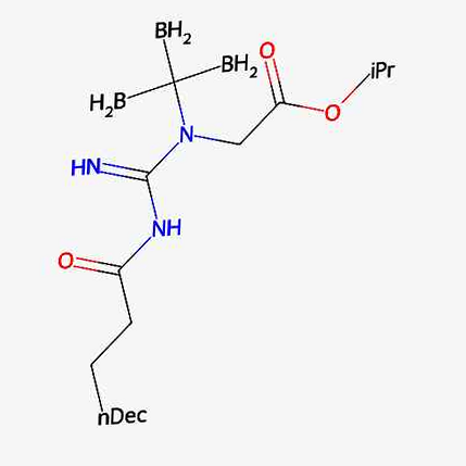 BC(B)(B)N(CC(=O)OC(C)C)C(=N)NC(=O)CCCCCCCCCCCC